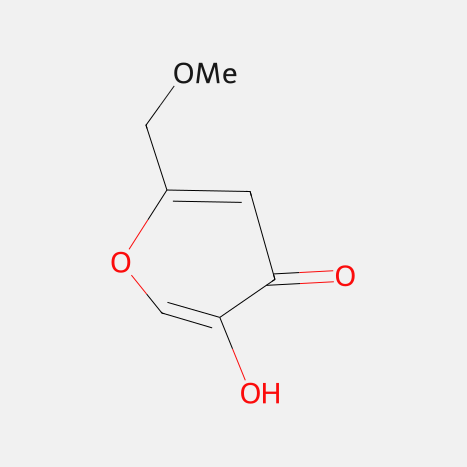 COCc1cc(=O)c(O)co1